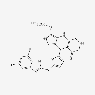 CCOC(=O)Oc1[nH]cc2c1NC1=C(C(=O)CNC1)C2c1ccc(Sc2nc3cc(F)cc(F)c3[nH]2)o1.Cl